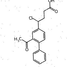 CC(=O)c1cc(C(Cl)CCC(=O)O)ccc1-c1ccccc1